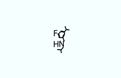 CC(C)CNCc1cc(F)cc(C(C)C)c1